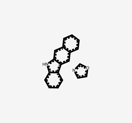 c1ccc2cc3c(cc2c1)[nH]c1ccccc13.c1cocn1